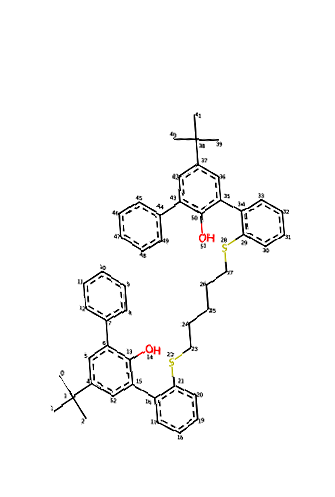 CC(C)(C)c1cc(-c2ccccc2)c(O)c(-c2ccccc2SCCCCCSc2ccccc2-c2cc(C(C)(C)C)cc(-c3ccccc3)c2O)c1